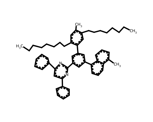 CCCCCCCCc1cc(-c2cc(-c3nc(-c4ccccc4)cc(-c4ccccc4)n3)cc(-c3cccc4c(C)cccc34)c2)c(CCCCCCCC)cc1C